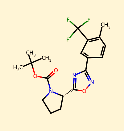 Cc1ccc(-c2noc([C@@H]3CCCN3C(=O)OC(C)(C)C)n2)cc1C(F)(F)F